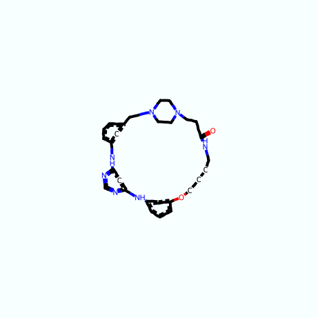 O=C1CCN2CCN(CC2)Cc2cccc(c2)Nc2cc(ncn2)Nc2cccc(c2)OCCCCN1